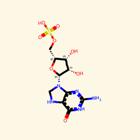 Nc1nc2c(c(=O)[nH]1)NCN2[C@@H]1O[C@H](COS(=O)(=O)O)[C@H](O)[C@@H]1O